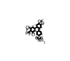 NS(=O)(=O)c1ccc(-c2cc3c(cc2-c2cc(Cl)c(C(F)(F)F)c(Cl)c2)OCO3)cc1